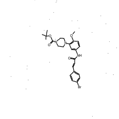 COc1ccc(NC(=O)C=Cc2ccc(Br)cc2)cc1N1CCN(C(=O)OC(C)(C)C)CC1